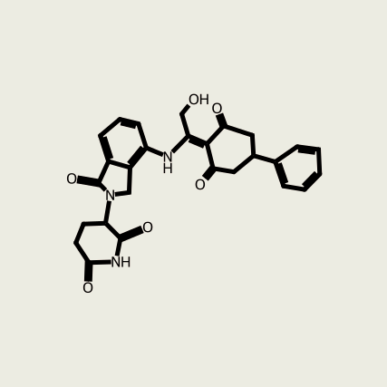 O=C1CCC(N2Cc3c(NC(CO)=C4C(=O)CC(c5ccccc5)CC4=O)cccc3C2=O)C(=O)N1